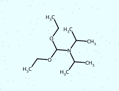 CCOC(OCC)N(C(C)C)C(C)C